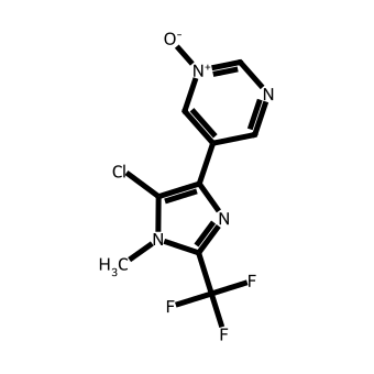 Cn1c(C(F)(F)F)nc(-c2cnc[n+]([O-])c2)c1Cl